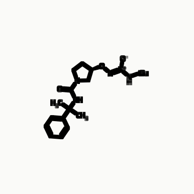 CC(C)(C)N/[N+]([O-])=N/O[C@@H]1CCN(C(=O)NC(C)(C)c2ccccc2)C1